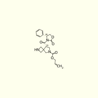 C=CCOC(=O)N1C[C@@H](C(=O)N2C(=O)OC[C@H]2c2ccccc2)C2(CNC2)C1